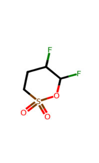 O=S1(=O)CCC(F)C(F)O1